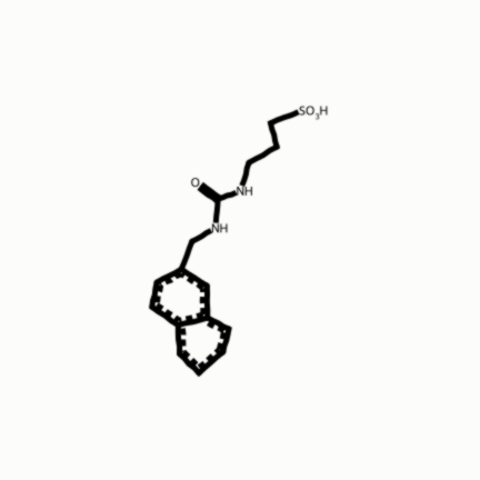 O=C(NCCCS(=O)(=O)O)NCc1ccc2ccccc2c1